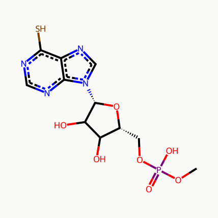 COP(=O)(O)OC[C@H]1O[C@@H](n2cnc3c(S)ncnc32)C(O)C1O